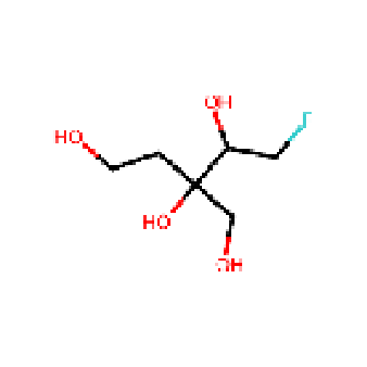 OCCC(O)(CO)C(O)CF